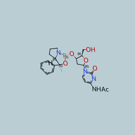 CC(=O)Nc1ccn([C@H]2CC(O[P@]3O[C@@](C)(c4ccccc4)[C@H]4CCCN43)[C@@H](CO)O2)c(=O)n1